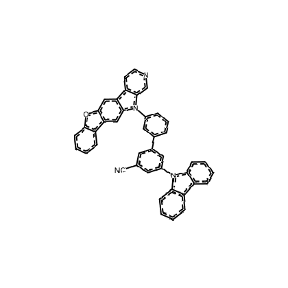 N#Cc1cc(-c2cccc(-n3c4cnccc4c4cc5oc6ccccc6c5cc43)c2)cc(-n2c3ccccc3c3ccccc32)c1